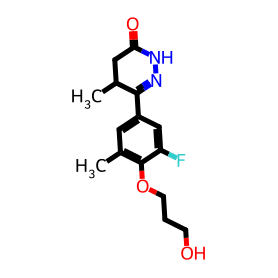 Cc1cc(C2=NNC(=O)CC2C)cc(F)c1OCCCO